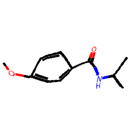 COc1ccc(C(=O)NC(C)C)cc1